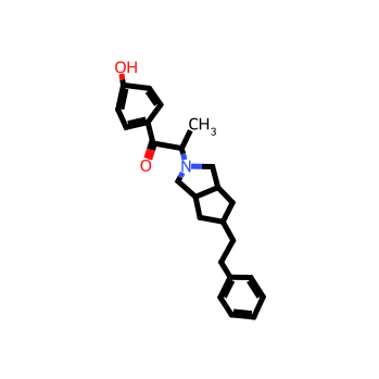 CC(C(=O)c1ccc(O)cc1)N1CC2CC(CCc3ccccc3)CC2C1